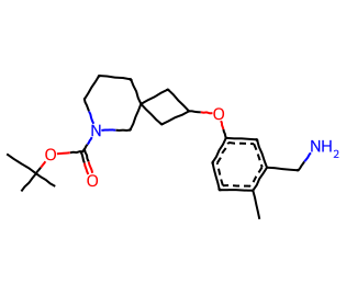 Cc1ccc(OC2CC3(CCCN(C(=O)OC(C)(C)C)C3)C2)cc1CN